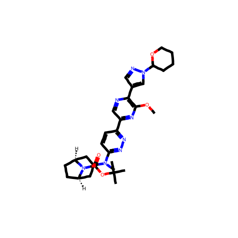 COc1nc(-c2ccc(N(C)C3C[C@H]4CC[C@@H](C3)N4C(=O)OC(C)(C)C)nn2)cnc1-c1cnn(C2CCCCO2)c1